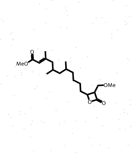 COCC1C(=O)OC1CCCCC(C)CC(C)CC(C)=CC(=O)OC